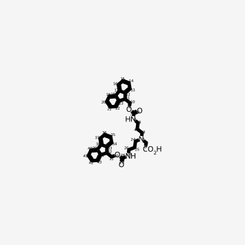 O=C(O)CN(CCCNC(=O)OCC1c2ccccc2-c2ccccc21)CCCNC(=O)OCC1c2ccccc2-c2ccccc21